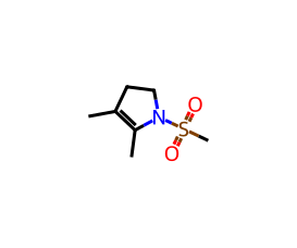 CC1=C(C)N(S(C)(=O)=O)CC1